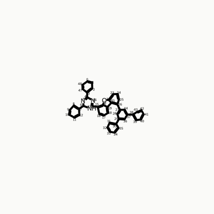 c1ccc(C2=NC(c3ccccc3)NC(c3cccc4c3oc3cccc(-c5cc(-c6ccccc6)cc(-c6ccccc6)c5)c34)=N2)cc1